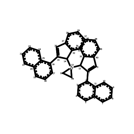 C1=C(c2cccc3ccccc23)[CH]([Zr]2([CH]3C(c4cccc5ccccc45)=Cc4ccccc43)[CH2][CH2]2)c2ccccc21